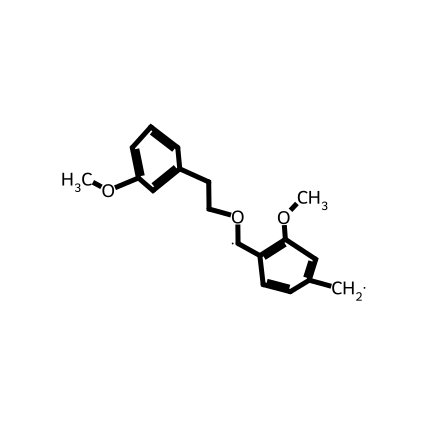 [CH2]c1ccc([CH]OCCc2cccc(OC)c2)c(OC)c1